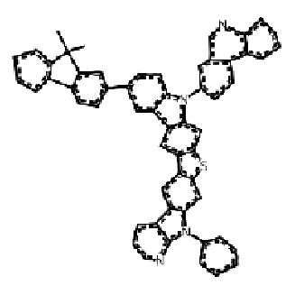 CC1(C)c2ccccc2-c2ccc(-c3ccc4c(c3)c3cc5c(cc3n4-c3ccc4c(cnc6ccccc64)c3)sc3cc4c(cc35)c3cccnc3n4-c3ccccc3)cc21